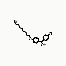 OC(c1ccc(Cl)cc1)c1ccc(OCCCCCCCCBr)cc1